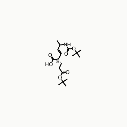 CC(C=C[C@H](CCC(=O)OC(C)(C)C)C(=O)O)NC(=O)OC(C)(C)C